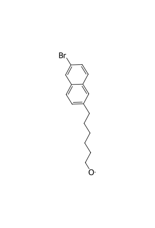 [O]CCCCCCc1ccc2cc(Br)ccc2c1